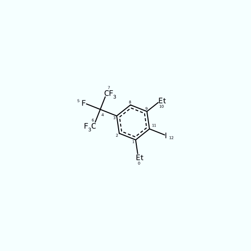 CCc1cc(C(F)(C(F)(F)F)C(F)(F)F)cc(CC)c1I